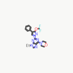 CCn1cnc2c(N3CCOCC3)nc(-n3cc(-c4ccccc4)c(OC(F)F)n3)nc21